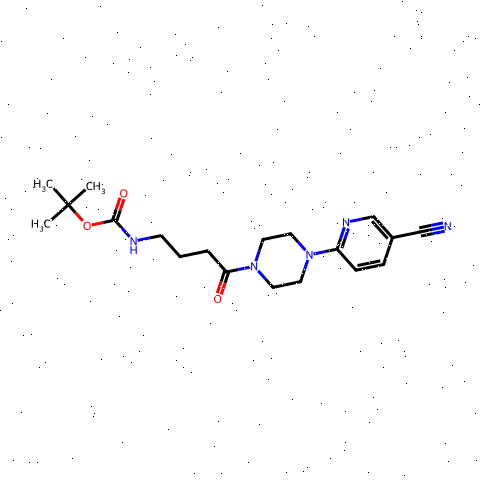 CC(C)(C)OC(=O)NCCCC(=O)N1CCN(c2ccc(C#N)cn2)CC1